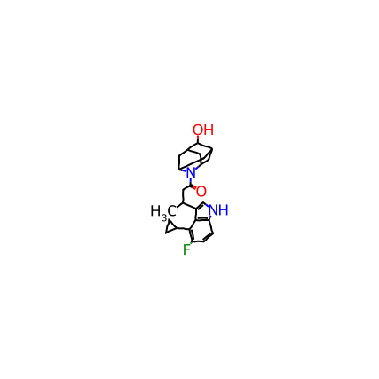 CC(CC(=O)N1C2CC3CC1CC(C2)C3O)c1c[nH]c2ccc(F)c(C3CC3)c12